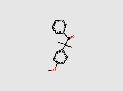 COc1ccc(C(C)(C)C(=O)c2ccccc2)cc1